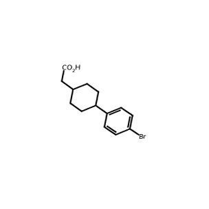 O=C(O)CC1CCC(c2ccc(Br)cc2)CC1